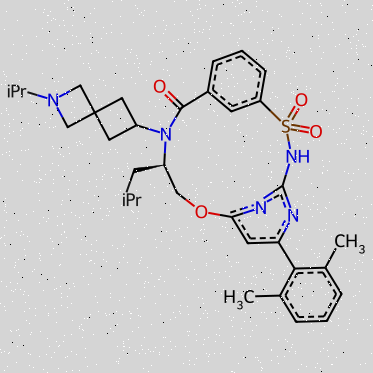 Cc1cccc(C)c1-c1cc2nc(n1)NS(=O)(=O)c1cccc(c1)C(=O)N(C1CC3(C1)CN(C(C)C)C3)[C@H](CC(C)C)CO2